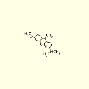 C=C(c1ccc(N(C)C)cc1)c1ccc(OC)cc1C